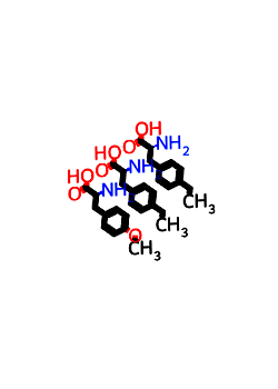 CCc1ccc(C[C@@H](N)C(=O)O)cc1.CCc1ccc(C[C@H](N)C(=O)O)cc1.COc1ccc(C[C@H](N)C(=O)O)cc1